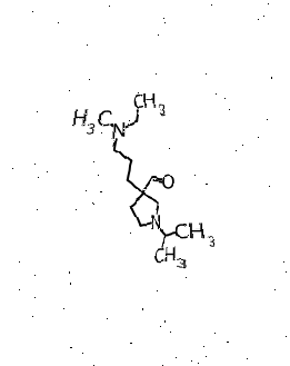 CCN(C)CCCC1(C=O)CCN(C(C)C)C1